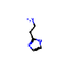 NCCC1=NC=C[N]1